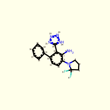 Nc1c(N2CCCC2(F)F)ccc(-c2ccccc2)c1-c1nnn[nH]1